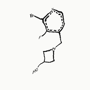 OC1CN(Cc2ccnc(Br)c2F)C1